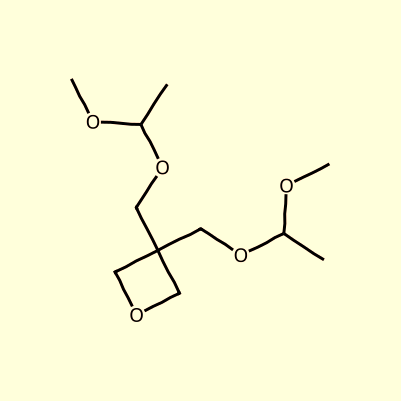 COC(C)OCC1(COC(C)OC)COC1